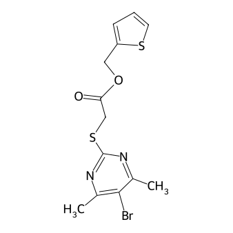 Cc1nc(SCC(=O)OCc2cccs2)nc(C)c1Br